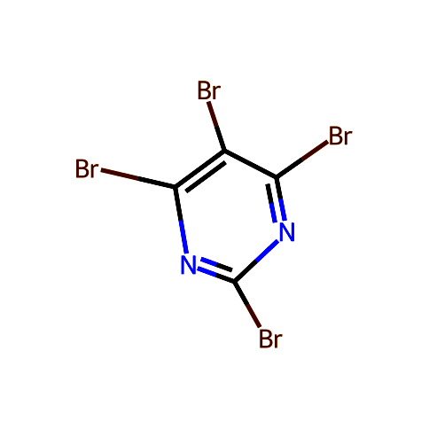 Brc1nc(Br)c(Br)c(Br)n1